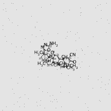 CC1(C)C(=O)C(C#N)=C[C@]2(C)C3=CC(=O)[C@@H]4[C@@H]5C[C@@](C)(c6nnc(N)o6)CC[C@]5(C)CC[C@@]4(C)[C@]3(C)CC[C@@H]12